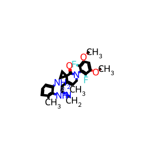 C=N/C(=C\C1=C(C)CN(c2c(F)c(OC)cc(OC)c2F)C(=O)C12CC2)Nc1c(C)cccc1N